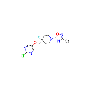 CCc1noc(N2CCC(F)(COc3cnc(Cl)nc3)CC2)n1